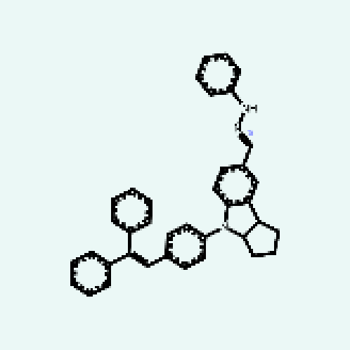 C(=C(c1ccccc1)c1ccccc1)c1ccc(N2c3ccc(/C=N/Nc4ccccc4)cc3C3CCCC32)cc1